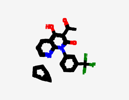 CC(=O)c1c(O)c2cccnc2n(-c2cccc(C(F)(F)F)c2)c1=O.c1cc2cc-2c1